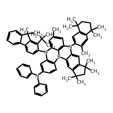 Cc1cc2c3c(c1)N(c1ccc4c(c1C(C)(C)C)C(C)(C)c1ccccc1-4)c1cc(N(c4ccccc4)c4ccccc4)ccc1B3c1cc3c(cc1N2c1cc2c(cc1C)C(C)(C)CCC2(C)C)C(C)(C)CC3(C)C